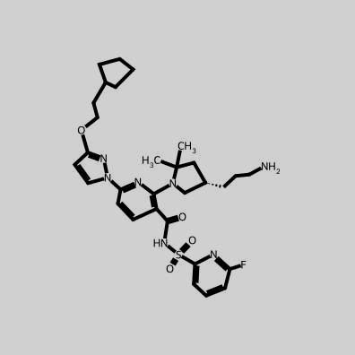 CC1(C)C[C@H](CCCN)CN1c1nc(-n2ccc(OCCC3CCCC3)n2)ccc1C(=O)NS(=O)(=O)c1cccc(F)n1